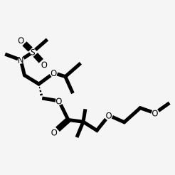 COCCOCC(C)(C)C(=O)OC[C@H](CN(C)S(C)(=O)=O)OC(C)C